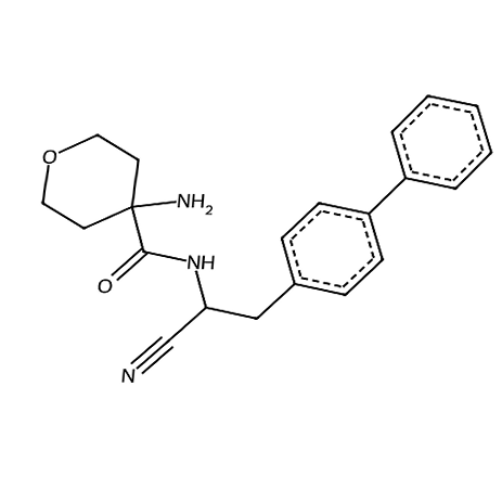 N#CC(Cc1ccc(-c2ccccc2)cc1)NC(=O)C1(N)CCOCC1